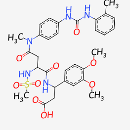 COc1ccc(C(CC(=O)O)NC(=O)C(CC(=O)N(C)c2ccc(NC(=O)Nc3ccccc3C)cc2)NS(C)(=O)=O)cc1OC